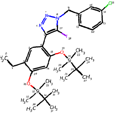 CCc1cc(-c2nnn(Cc3cccc(Cl)c3)c2I)c(O[Si](C)(C)C(C)(C)C)cc1O[Si](C)(C)C(C)(C)C